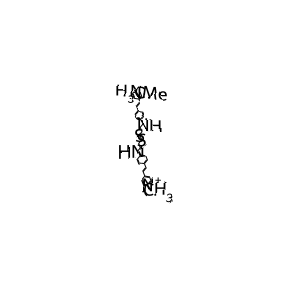 C/C=C(\C=C/NC)/C=C/c1ccc(NCCSSCCNc2ccc(/C=C/c3cc[n+](C)cc3)cc2)cc1